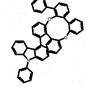 C1=CC2c3c(-c4cccc5c4-c4ccccc4Oc4ccccc4-c4cccc(-c6ccccc6)c4O5)cccc3N(c3ccccc3)C2C=C1